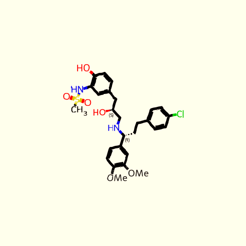 COc1ccc([C@@H](CCc2ccc(Cl)cc2)NC[C@@H](O)Cc2ccc(O)c(NS(C)(=O)=O)c2)cc1OC